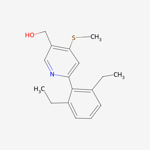 CCc1cccc(CC)c1-c1cc(SC)c(CO)cn1